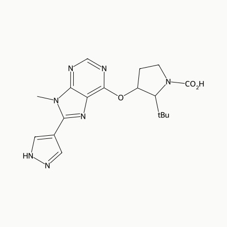 Cn1c(-c2cn[nH]c2)nc2c(OC3CCN(C(=O)O)C3C(C)(C)C)ncnc21